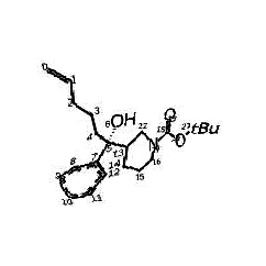 C=CCCC[C@](O)(c1ccccc1)C1CCCN(C(=O)OC(C)(C)C)C1